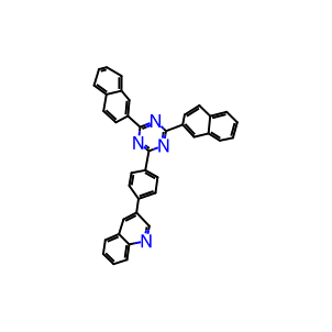 c1ccc2cc(-c3nc(-c4ccc(-c5cnc6ccccc6c5)cc4)nc(-c4ccc5ccccc5c4)n3)ccc2c1